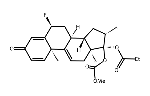 CCC(=O)O[C@@]1(OC(=O)OC)[C@@H](C)C[C@H]2[C@@H]3C[C@H](F)C4=CC(=O)C=C[C@]4(C)C3=CC[C@@]21C